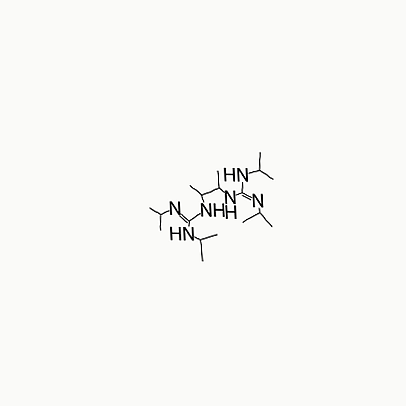 CC(C)N=C(NC(C)C)NC(C)C(C)NC(=NC(C)C)NC(C)C